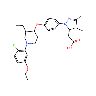 CCOc1ccc(F)c(N2CCC(Oc3ccc(N4N=C(C)C(C)C4CC(=O)O)cc3)C(CC)C2)c1